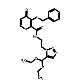 CCOC(OCC)c1cnnn1CCNC(=O)C1=C(OCc2ccccc2)C(=O)C=C[N]1